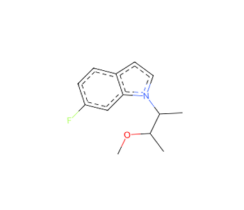 COC(C)C(C)n1ccc2ccc(F)cc21